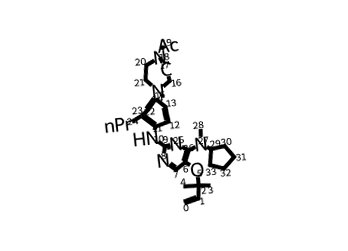 C=CC(C)(C)Oc1cnc(Nc2ccc(N3CCN(C(C)=O)CC3)cc2CCC)nc1N(C)C1CCCC1